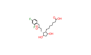 O=C(O)CCCCCC[C@@H]1[C@@H](CCC(O)Cc2ccc(F)cc2F)[C@H](O)C[C@@H]1O